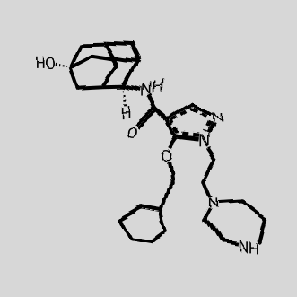 O=C(N[C@H]1C2CC3CC1C[C@](O)(C3)C2)c1cnn(CCN2CCCNCC2)c1OCC1CCCCC1